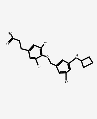 O=C(O)CCc1cc(Cl)c(OCc2cc(Cl)cc(NC3CCC3)c2)c(Cl)c1